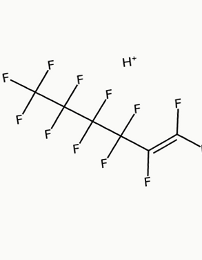 FC(F)=C(F)C(F)(F)C(F)(F)C(F)(F)C(F)(F)F.[H+]